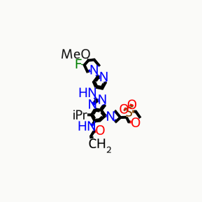 C=CC(=O)Nc1cc(N2CC(C3COCCS3(=O)=O)C2)c2cnc(Nc3ccnc(N4CC[C@@H](OC)[C@@H](F)C4)c3)nc2c1C(C)C